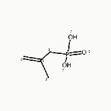 C=C(C)CP(=O)(O)O